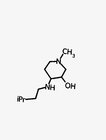 CC(C)CCNC1CCN(C)CC1O